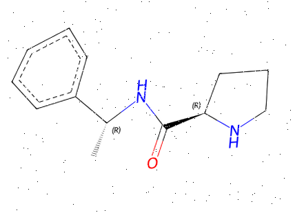 C[C@@H](NC(=O)[C@H]1CCCN1)c1ccccc1